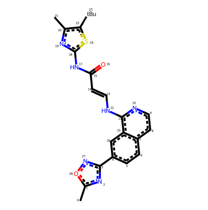 Cc1nc(-c2ccc3ccnc(NC=CC(=O)Nc4nc(C)c(C(C)(C)C)s4)c3c2)no1